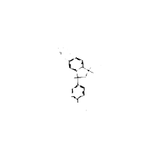 COc1ccc2c(c1)C(C)(c1ccc(C)cc1)CC2(C)C